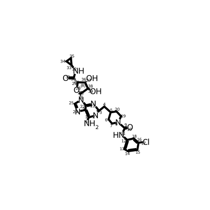 Nc1nc(CC2CCN(C(=O)Nc3cccc(Cl)c3)CC2)nc2c1ncn2[C@@H]1O[C@H](C(=O)NC2CC2)[C@H](O)C1O